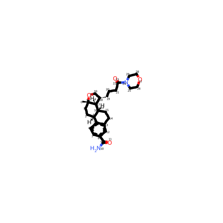 C[C@]12CC[C@@H]3c4ccc(C(N)=O)cc4CC[C@H]3[C@@H]1[C@@H](CCCC(=O)N1CCOCC1)CO2